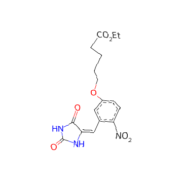 CCOC(=O)CCCCOc1ccc([N+](=O)[O-])c(/C=C2/NC(=O)NC2=O)c1